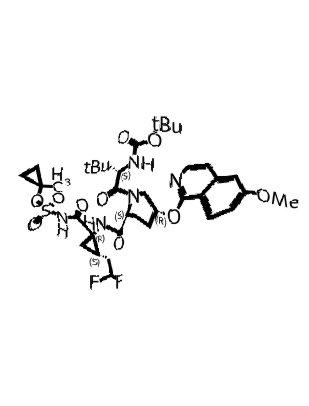 COc1ccc2c(O[C@@H]3C[C@@H](C(=O)N[C@]4(C(=O)NS(=O)(=O)OC5(C)CC5)C[C@H]4CC(F)F)N(C(=O)[C@@H](NC(=O)OC(C)(C)C)C(C)(C)C)C3)nccc2c1